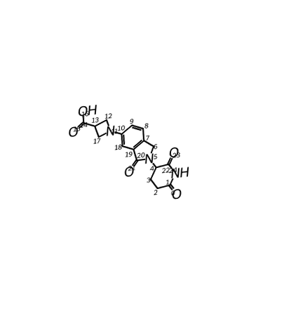 O=C1CCC(N2Cc3ccc(N4CC(C(=O)O)C4)cc3C2=O)C(=O)N1